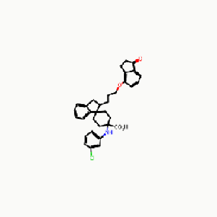 O=C1CCc2c(OCCCC3Cc4ccccc4C34CCC(Nc3cccc(Cl)c3)(C(=O)O)CC4)cccc21